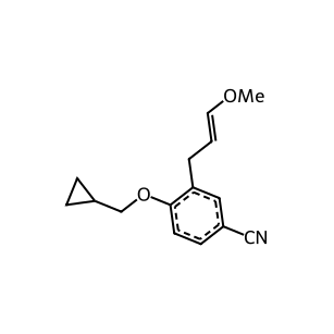 CO/C=C/Cc1cc(C#N)ccc1OCC1CC1